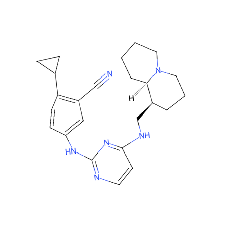 N#Cc1cc(Nc2nccc(NC[C@@H]3CCCN4CCCC[C@H]34)n2)ccc1C1CC1